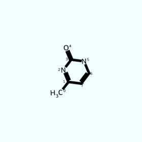 CC1=NC(=O)[N]C=[C]1